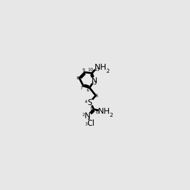 N/C(=N\Cl)SCc1cccc(N)n1